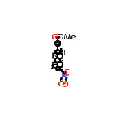 C=C(C)[C@@H]1CC[C@]2(/C=C/C(=O)N3CCS(=O)(=O)CC3)CC[C@]3(C)[C@H](CC[C@@H]4[C@@]5(C)CC=C(c6ccc(C(=O)OC)cc6)C(C)(C)[C@@H]5CC[C@]43C)[C@@H]12